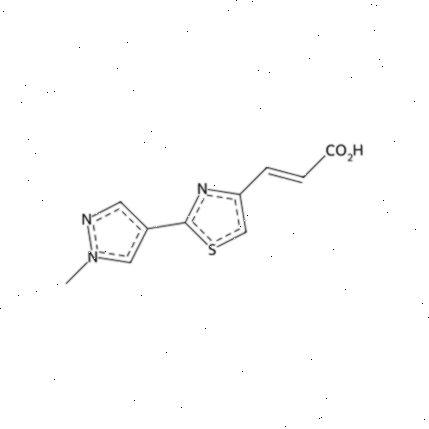 Cn1cc(-c2nc(C=CC(=O)O)cs2)cn1